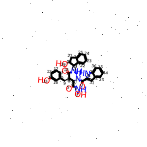 O=C(N[C@H](C(=O)NO)[C@@H](Cc1cccc(O)c1)C(=O)N[C@H]1c2ccccc2C[C@H]1O)c1cc2ccccc2[nH]1